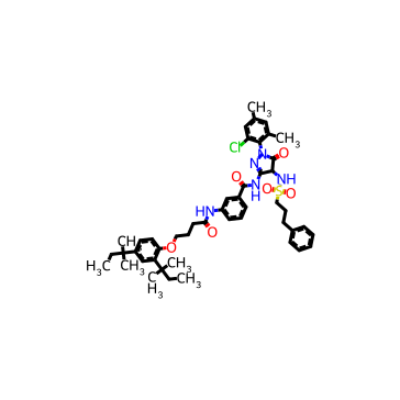 CCC(C)(C)c1ccc(OCCCC(=O)Nc2cccc(C(=O)NC3=NN(c4c(C)cc(C)cc4Cl)C(=O)C3NS(=O)(=O)CCCc3ccccc3)c2)c(C(C)(C)CC)c1